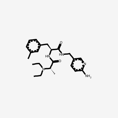 CCN(CC)[C@@H](C)C(=O)N[C@@H](Cc1cccc(C)c1)C(=O)NCc1ccc(N)nc1